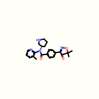 Cc1cccnc1N(C(=O)c1ccc(C2=NOC(C)(C)C2=O)cc1)[C@@H]1CCCNC1